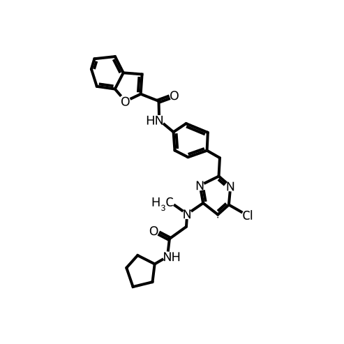 CN(CC(=O)NC1CCCC1)c1[c]c(Cl)nc(Cc2ccc(NC(=O)c3cc4ccccc4o3)cc2)n1